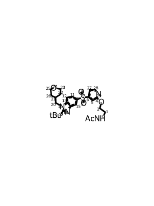 CC(=O)NCCOc1cc(S(=O)(=O)c2ccc3c(c2)nc(C(C)(C)C)n3CC2CCOCC2)ccn1